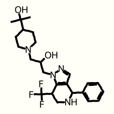 CC(C)(O)C1CCN(CC(O)Cn2ncc3c2C(C(F)(F)F)CNC3c2ccccc2)CC1